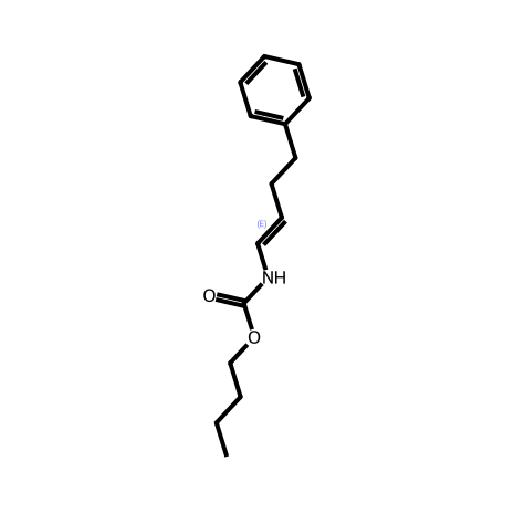 CCCCOC(=O)N/C=C/CCc1ccccc1